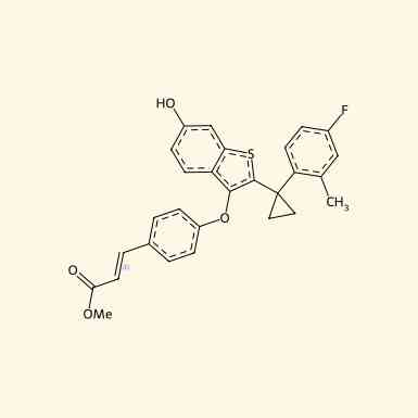 COC(=O)/C=C/c1ccc(Oc2c(C3(c4ccc(F)cc4C)CC3)sc3cc(O)ccc23)cc1